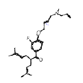 C=CCN(C)C/C=C/COc1ccc(C(=O)C(CC=C(C)C)CC=C(C)C)cc1F